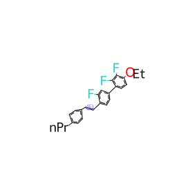 CCCc1ccc(/C=C/c2ccc(-c3ccc(OCC)c(F)c3F)cc2F)cc1